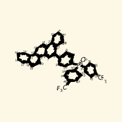 O=P(c1ccc(-c2cc3c(ccc4c5ccccc5ccc43)c3ccccc23)cc1)(c1ccc(C(F)(F)F)cc1)c1ccc(C(F)(F)F)cc1